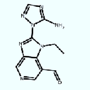 CCn1c(-n2ncnc2N)nc2cncc(C=O)c21